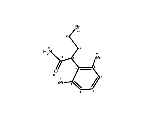 CC(C)c1cccc(C(C)C)c1C(CCBr)C(N)=O